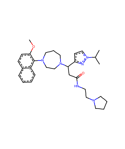 COc1ccc2ccccc2c1N1CCCN(C(CC(=O)NCCN2CCCC2)c2ccn(C(C)C)n2)CC1